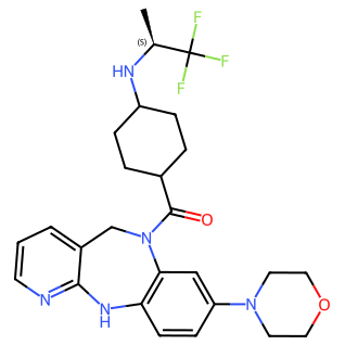 C[C@H](NC1CCC(C(=O)N2Cc3cccnc3Nc3ccc(N4CCOCC4)cc32)CC1)C(F)(F)F